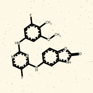 COc1cc(Nc2ncc(F)c(Nc3ccc4oc(=O)[nH]c4c3)n2)cc(F)c1C